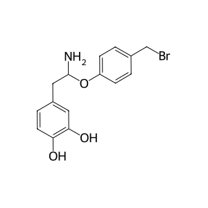 NC(Cc1ccc(O)c(O)c1)Oc1ccc(CBr)cc1